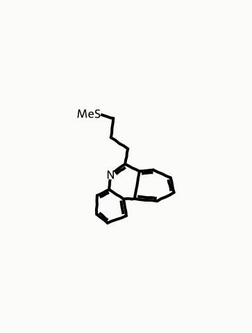 CSCCCc1nc2ccccc2c2ccccc12